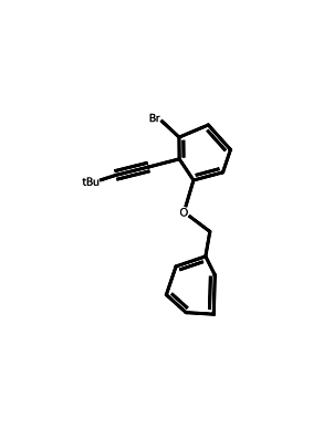 CC(C)(C)C#Cc1c(Br)cccc1OCc1ccccc1